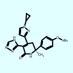 CCCCOc1ccc([C@]2(C)CC(c3ccn(C4CC4)n3)=C(c3nnc[nH]3)C(=O)N2)cc1